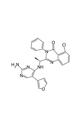 C[C@H](Nc1nc(N)ncc1-c1ccoc1)c1nc2cccc(Cl)c2c(=O)n1-c1ccccc1